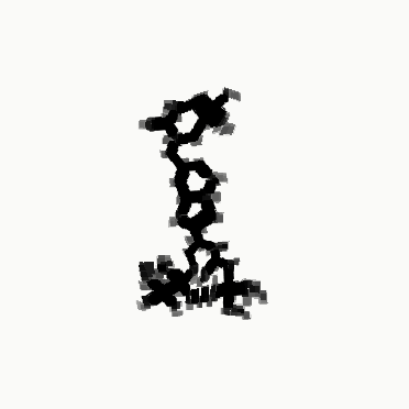 CC(C)(C)OC(=O)N[C@@H](COC(C)(C)C(F)(F)F)c1cn2ncc(CN3CC(F)(F)CNC3=O)cc2n1